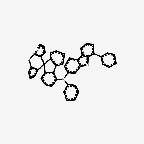 c1ccc(-c2cccc3c2oc2cc(N(c4ccccc4)c4cccc5c4-c4ccccc4C54c5ccccc5Oc5ccccc54)ccc23)cc1